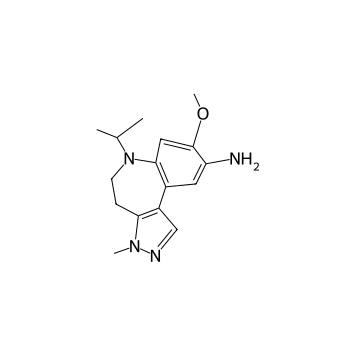 COc1cc2c(cc1N)-c1cnn(C)c1CCN2C(C)C